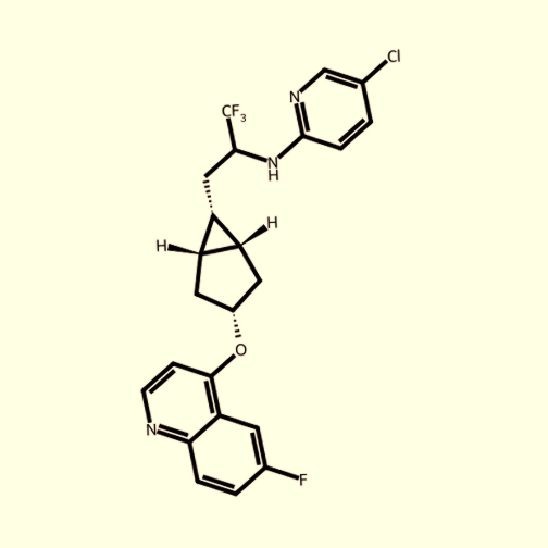 Fc1ccc2nccc(O[C@@H]3C[C@@H]4[C@H](CC(Nc5ccc(Cl)cn5)C(F)(F)F)[C@@H]4C3)c2c1